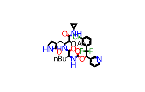 CCCC[C@H](NC(=O)OC(c1cccnc1)C(F)(F)c1cccc(Cl)c1)C(=O)N[C@@H](C[C@@H]1CCNC1=O)C(OC(C)=O)C(=O)NC1CC1